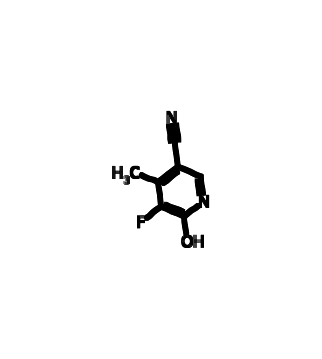 Cc1c(C#N)cnc(O)c1F